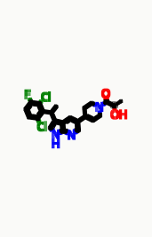 CC(c1c(Cl)ccc(F)c1Cl)c1c[nH]c2ncc(C3=CCN(C(=O)[C@@H](C)O)CC3)cc12